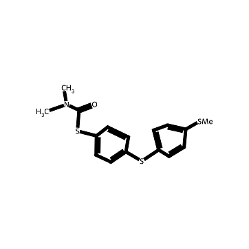 CSc1ccc(Sc2ccc(SC(=O)N(C)C)cc2)cc1